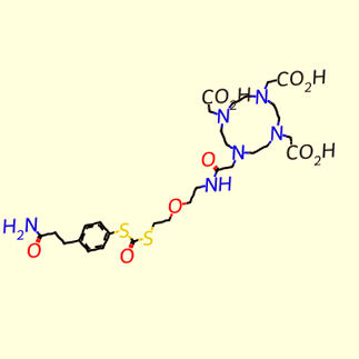 NC(=O)CCc1ccc(SC(=O)SCCOCCNC(=O)CN2CCN(CC(=O)O)CCN(CC(=O)O)CCN(CC(=O)O)CC2)cc1